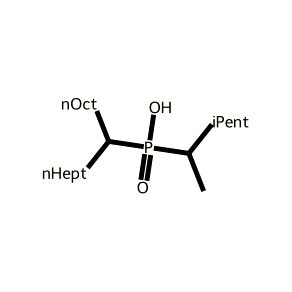 CCCCCCCCC(CCCCCCC)P(=O)(O)C(C)C(C)CCC